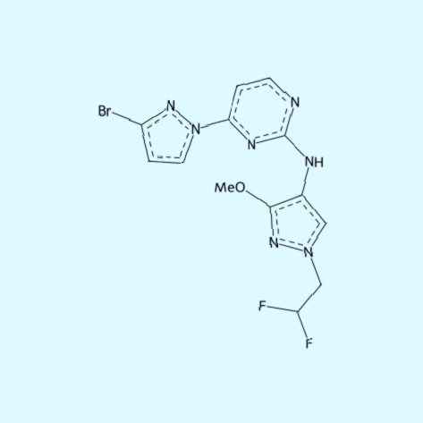 COc1nn(CC(F)F)cc1Nc1nccc(-n2ccc(Br)n2)n1